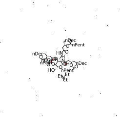 CCCCCCCCCCC[C@H](CC(=O)NCC[C@]1(NC(=O)C[C@@H](CCCCCCCCCCC)OC(=O)CCCCC)[C@@H](O)O[C@H](CO)[C@@H](OP(=O)(O)O)[C@@H]1OC(=O)C[C@@H](CCCCCCCCCCC)OC(=O)CCCCC)OC(=O)CCCCC.CCN(CC)CC